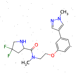 CN(CCOc1c[c]cc(-c2cnn(C)c2)c1)C(=O)C1CC(F)(F)CN1